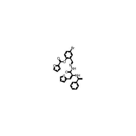 C=C(N/C(=C/c1cccs1)C(=O)N/N=C/c1cc(Br)ccc1OC(=O)c1ccco1)c1ccccc1